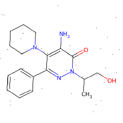 CC(CO)n1nc(-c2ccccc2)c(N2CCCCC2)c(N)c1=O